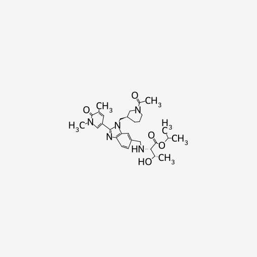 CC(=O)N1CCC[C@@H](Cn2c(-c3cc(C)c(=O)n(C)c3)nc3ccc(CN[C@H](C(=O)OC(C)C)[C@H](C)O)cc32)C1